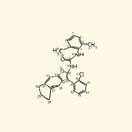 Cc1cccc(C)c1NC(=O)Nc1oc2cc3c(cc2c1-c1ccccc1Cl)CCC3